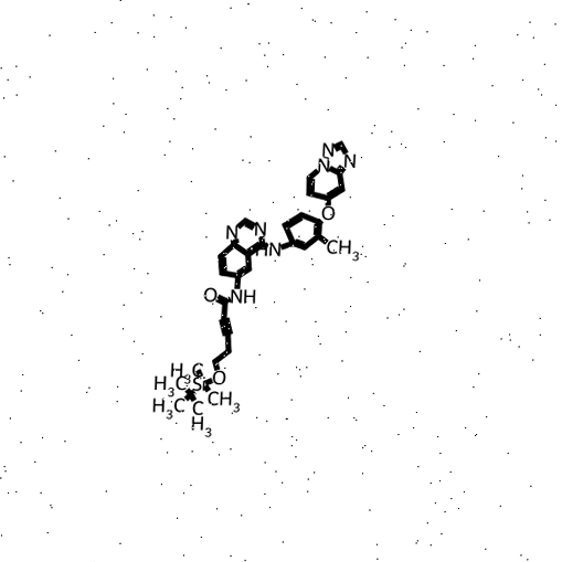 Cc1cc(Nc2ncnc3ccc(NC(=O)C#CCCO[Si](C)(C)C(C)(C)C)cc23)ccc1Oc1ccn2ncnc2c1